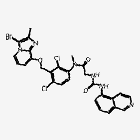 Cc1nc2c(OCc3c(Cl)ccc(N(C)C(=O)CNC(=O)Nc4cccc5cnccc45)c3Cl)cccn2c1Br